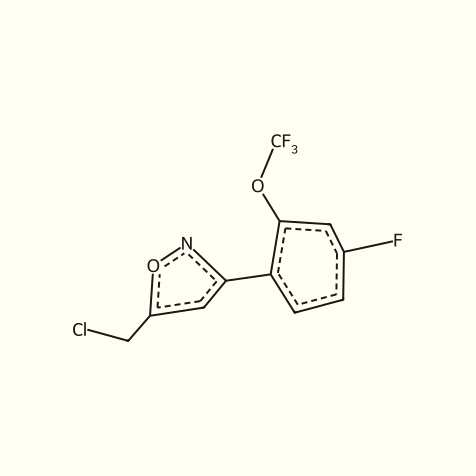 Fc1ccc(-c2cc(CCl)on2)c(OC(F)(F)F)c1